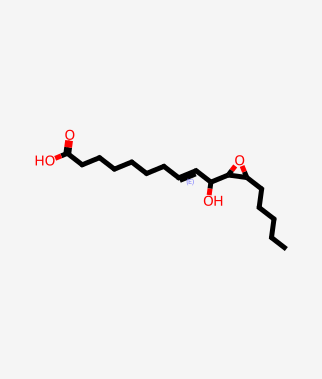 CCCCCC1OC1C(O)/C=C/CCCCCCC(=O)O